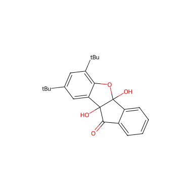 CC(C)(C)c1cc(C(C)(C)C)c2c(c1)C1(O)C(=O)c3ccccc3C1(O)O2